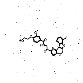 COc1cc(C(=O)NCC(=O)c2ccc3c(n2)-c2c(sc4c(F)cccc24)CO3)ccc1OCCO